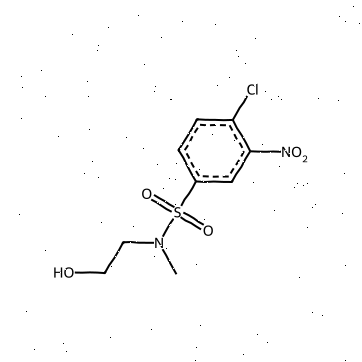 CN(CCO)S(=O)(=O)c1ccc(Cl)c([N+](=O)[O-])c1